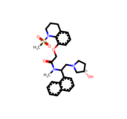 CN(C(=O)COc1cccc2c1N(S(C)(=O)=O)CCC2)C(CN1CC[C@H](O)C1)c1cccc2ccccc12